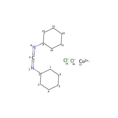 C(=NC1CCCCC1)=NC1CCCCC1.[Cl-].[Cl-].[Cu+2]